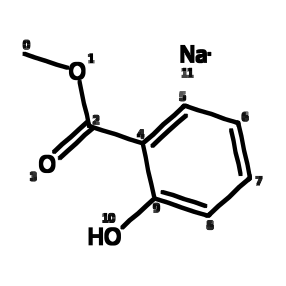 COC(=O)c1ccccc1O.[Na]